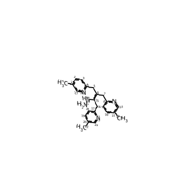 Cc1ccc(CC(Cc2ccc(C)cn2)=C(Cc2ccc(C)cn2)NN)nc1